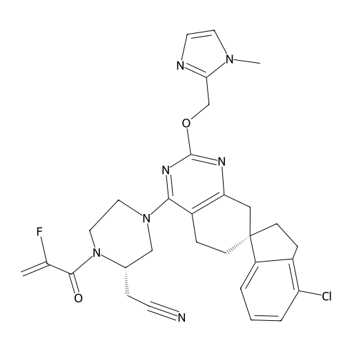 C=C(F)C(=O)N1CCN(c2nc(OCc3nccn3C)nc3c2CC[C@@]2(CCc4c(Cl)cccc42)C3)C[C@@H]1CC#N